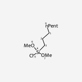 CCCCCCCC[Si](Cl)(OC)OC